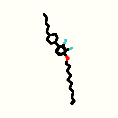 C=CCCCCCCCCCOc1ccc(C2CCC(CCCCC)CC2)c(F)c1F